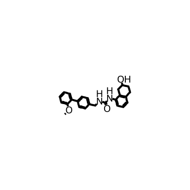 COc1ccccc1-c1ccc(CNC(=O)Nc2cccc3c2CC(O)CC3)cc1